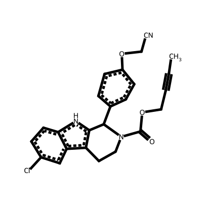 CC#CCOC(=O)N1CCc2c([nH]c3ccc(Cl)cc23)C1c1ccc(OCC#N)cc1